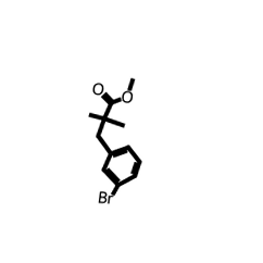 COC(=O)C(C)(C)Cc1cccc(Br)c1